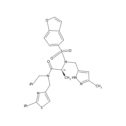 Cc1cc(CN([C@@H](C)C(=O)N(Cc2csc(C(C)C)n2)CC(C)C)S(=O)(=O)c2ccc3occc3c2)[nH]n1